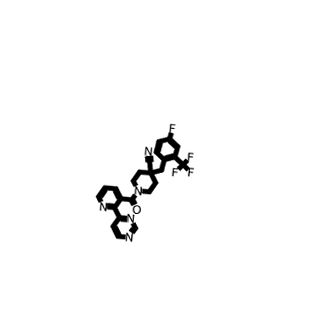 N#CC1(Cc2ccc(F)cc2C(F)(F)F)CCN(C(=O)c2cccnc2-c2ccncn2)CC1